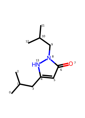 CC(C)Cc1cc(=O)n(CC(C)C)[nH]1